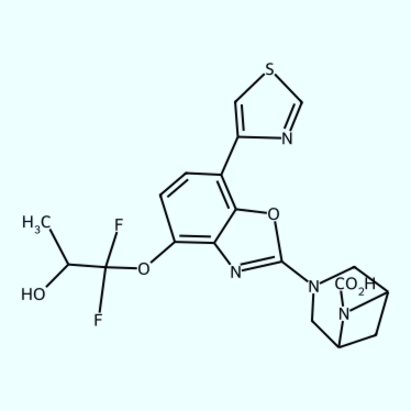 CC(O)C(F)(F)Oc1ccc(-c2cscn2)c2oc(N3CC4CC(C3)N4C(=O)O)nc12